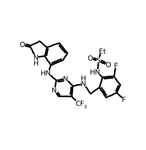 CCS(=O)(=O)Nc1c(F)cc(F)cc1CNc1nc(Nc2cccc3c2NC(=O)C3)ncc1C(F)(F)F